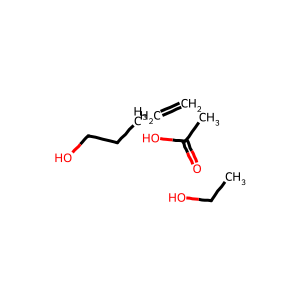 C=C.CC(=O)O.CCCO.CCO